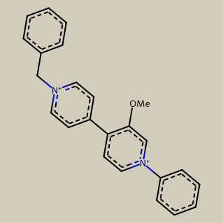 COc1c[n+](-c2ccccc2)ccc1-c1cc[n+](Cc2ccccc2)cc1